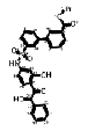 CC(C)OC(=O)c1cccc(-c2cccc(S(=O)(=O)Nc3ccc(C(=O)C(O)c4ccccc4)c(O)c3)c2)c1